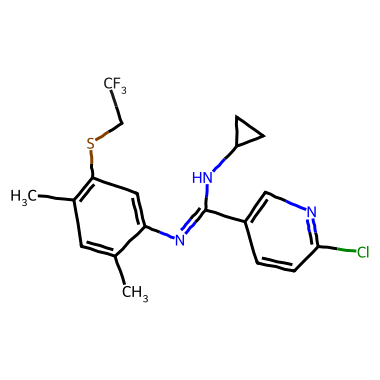 Cc1cc(C)c(SCC(F)(F)F)cc1/N=C(\NC1CC1)c1ccc(Cl)nc1